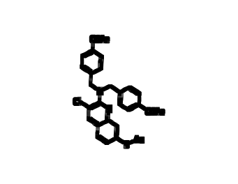 COc1ccc(CN(Cc2ccc(OC)cc2)c2nc3cc(SC(C)=O)ccc3cc2Cl)cc1